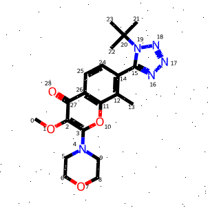 COc1c(N2CCOCC2)oc2c(C)c(-c3nnnn3C(C)(C)C)ccc2c1=O